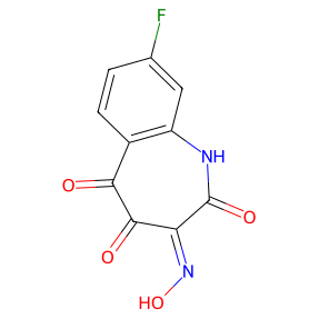 O=C1Nc2cc(F)ccc2C(=O)C(=O)/C1=N\O